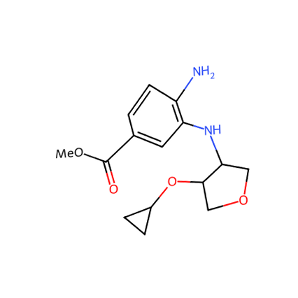 COC(=O)c1ccc(N)c(NC2COCC2OC2CC2)c1